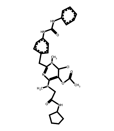 CC(=O)OC1=C(N(C)CC(=O)NC2CCCC2)N=C(Cc2ccc(NC(=O)Nc3ccccc3)cc2)N(C)C1Cl